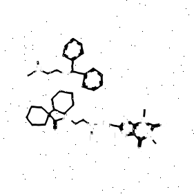 CCN(CC)CCOC(=O)C1(C2CCCCC2)CCCCC1.CN(C)CCOC(c1ccccc1)c1ccccc1.Cn1c(=O)c2[nH]c(Cl)nc2n(C)c1=O